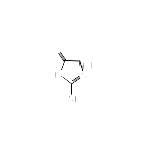 Cl.NC1=NCC(=O)N1